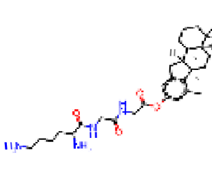 Cc1cc(OC(=O)CNC(=O)CNC(=O)C(N)CCCCN)cc2c1[C@]1(C)CC[C@H]3C(C)(C)CCC[C@]3(C)[C@H]1C2